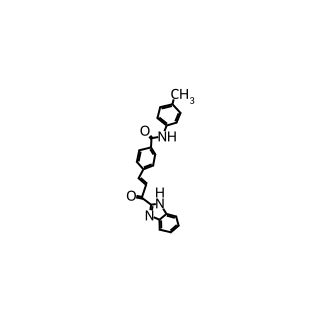 Cc1ccc(NC(=O)c2ccc(C=CC(=O)c3nc4ccccc4[nH]3)cc2)cc1